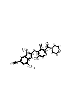 Cc1cc(C#N)cc2c1cc(Cc1c(Cl)cnc(C(=O)N3CCOCC3)c1Cl)n2C